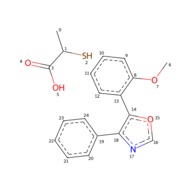 CC(S)C(=O)O.COc1ccccc1-c1ocnc1-c1ccccc1